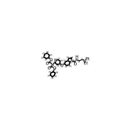 CCN(CC)CCNC(=O)n1ccc2cc(Oc3ccnc(N(C(=O)Oc4ccccc4)C(=O)Oc4ccccc4)c3)ccc21